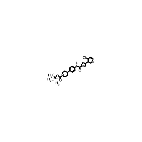 CC(C)(C)OC(=O)N1CCC(c2ccc(NC(=O)N3CC(c4cnccc4Cl)C3)cc2)CC1